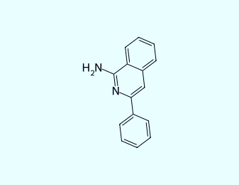 Nc1nc(-c2ccccc2)cc2ccccc12